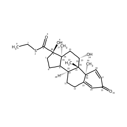 CCSC(=O)[C@@]1(O)CCC2[C@@H]3CCC4=CC(=O)C=C[C@]4(C)[C@@]3(C)[C@@H](O)C[C@@]21C